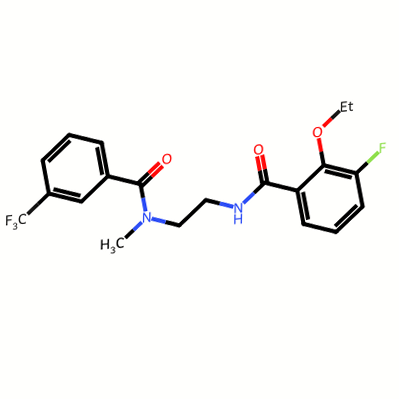 CCOc1c(F)cccc1C(=O)NCCN(C)C(=O)c1cccc(C(F)(F)F)c1